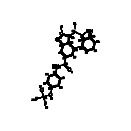 Cc1nc2cc(C(=O)Nc3ccc(OC(F)(F)Cl)cc3)cc(-c3cccnn3)c2n1[C@H](C)CO